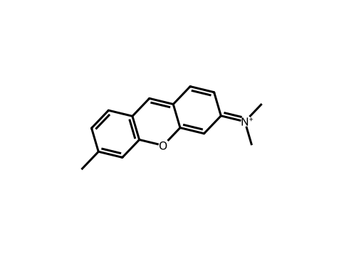 Cc1ccc2cc3ccc(=[N+](C)C)cc-3oc2c1